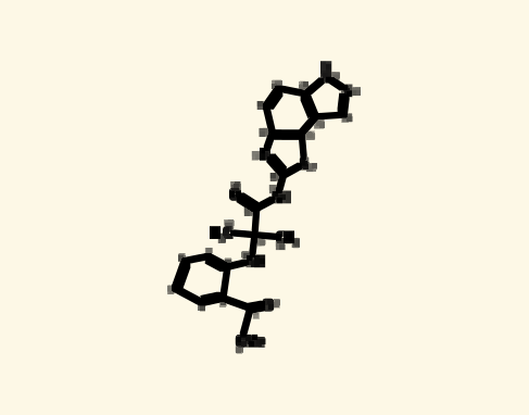 COC(=O)c1ccccc1NC(C)(C)C(=O)Nc1nc2ccc3[nH]ncc3c2s1